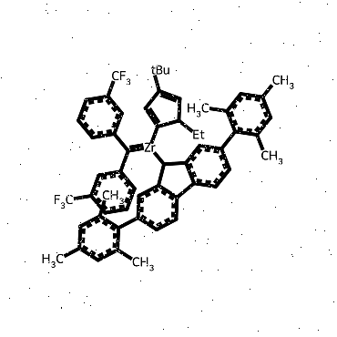 CCC1C=C(C(C)(C)C)C=[C]1[Zr](=[C](c1cccc(C(F)(F)F)c1)c1cccc(C(F)(F)F)c1)[CH]1c2cc(-c3c(C)cc(C)cc3C)ccc2-c2ccc(-c3c(C)cc(C)cc3C)cc21